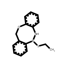 CCSB1Nc2ccccc2OCc2ccccc21